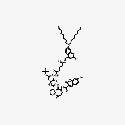 CCCCCCCCN(CCCCCCCC)c1ccc2c(COC(=O)CCCC(=O)NNC(=O)[C@H](CC(=O)OC(C)(C)C)NC(=O)[C@@H]3CCCN4C(=O)CCC(NC(=O)c5cc6ccc(OC)cc6oc5=O)C(=O)N34)cc(=O)oc2c1